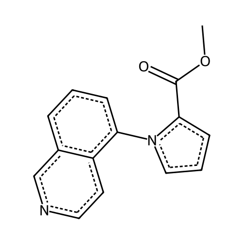 COC(=O)c1cccn1-c1cccc2cnccc12